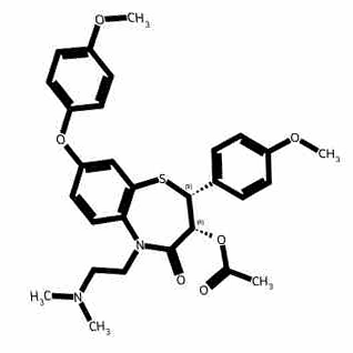 COc1ccc(Oc2ccc3c(c2)S[C@H](c2ccc(OC)cc2)[C@H](OC(C)=O)C(=O)N3CCN(C)C)cc1